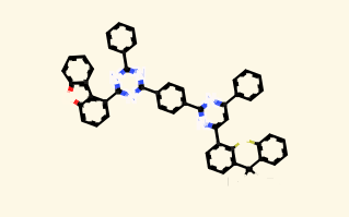 CC1(C)c2ccccc2Sc2c(-c3cc(-c4ccccc4)nc(-c4ccc(-c5nc(-c6ccccc6)nc(-c6cccc7oc8ccccc8c67)n5)cc4)n3)cccc21